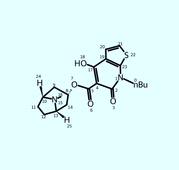 CCCCn1c(=O)c(C(=O)O[C@H]2C[C@H]3CC[C@@H](C2)N3C)c(O)c2ccsc21